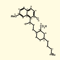 CCCCSCCN1CCC(CCC(F)c2c(Cl)cnc3ccc(OC)cc23)C(C(=O)O)C1